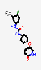 O=C(Nc1ccc(Oc2ccc(=O)[nH]c2)cc1)Nc1ccc(Cl)c(C(F)(F)F)c1